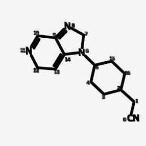 N#CCC1CCC(N2CN=C3C=NCC=C32)CC1